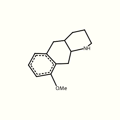 COc1cccc2c1CC1NCCCC1C2